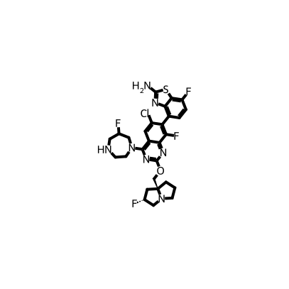 Nc1nc2c(-c3c(Cl)cc4c(N5CCNCC(F)C5)nc(OC[C@@]56CCCN5C[C@H](F)C6)nc4c3F)ccc(F)c2s1